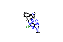 [2H]c1ccnn1-c1ccccc1C([2H])([2H])Nc1nc(Cl)nc2c1ncn2C(C)C